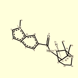 Cn1ccc2ccc(C(=O)N[C@@H]3C4CCN(CC4)C3(C)C)cc21